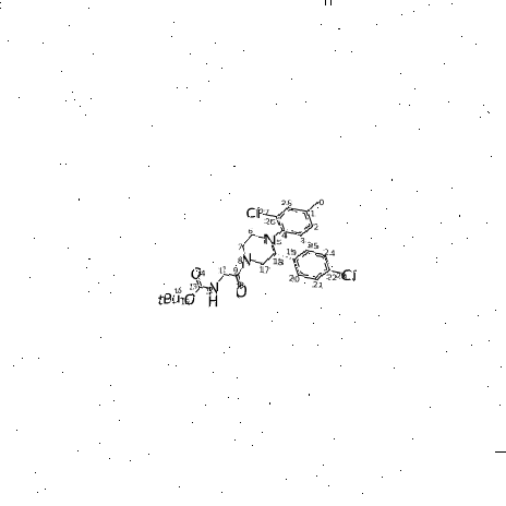 Cc1ccc(N2CCN(C(=O)CNC(=O)OC(C)(C)C)C[C@H]2c2ccc(Cl)cc2)c(Cl)c1